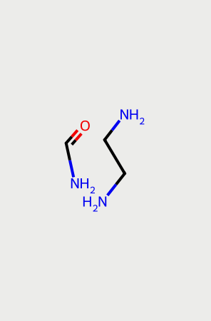 NC=O.NCCN